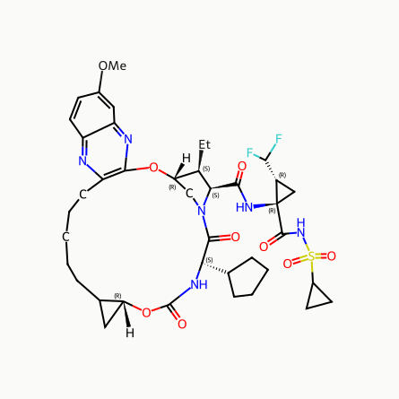 CC[C@@H]1[C@@H]2CN(C(=O)[C@H](C3CCCC3)NC(=O)O[C@@H]3CC3CCCCCc3nc4ccc(OC)cc4nc3O2)[C@@H]1C(=O)N[C@]1(C(=O)NS(=O)(=O)C2CC2)C[C@H]1C(F)F